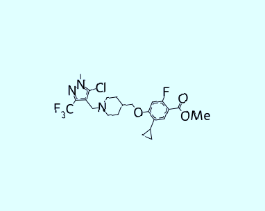 COC(=O)c1cc(C2CC2)c(OCC2CCN(Cc3c(C(F)(F)F)nn(C)c3Cl)CC2)cc1F